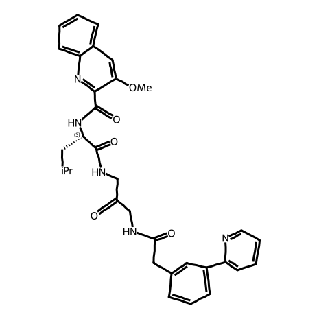 COc1cc2ccccc2nc1C(=O)N[C@@H](CC(C)C)C(=O)NCC(=O)CNC(=O)Cc1cccc(-c2ccccn2)c1